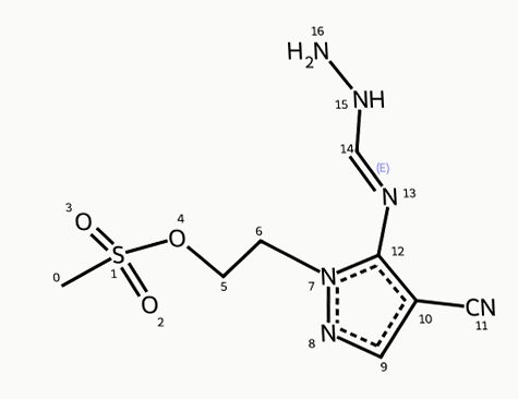 CS(=O)(=O)OCCn1ncc(C#N)c1/N=C/NN